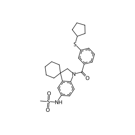 CS(=O)(=O)Nc1ccc2c(c1)C1(CCCCC1)CN2C(=O)c1cccc(SC2CCCC2)c1